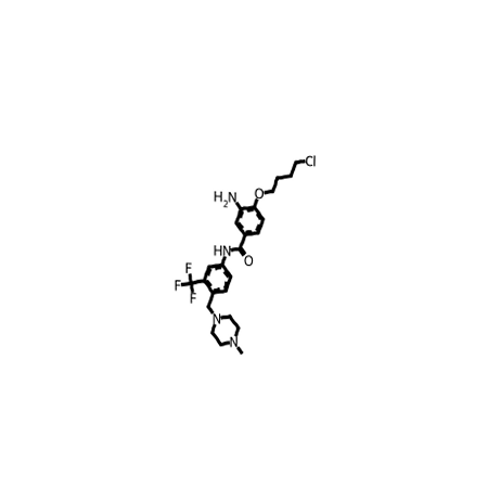 CN1CCN(Cc2ccc(NC(=O)c3ccc(OCCCCCl)c(N)c3)cc2C(F)(F)F)CC1